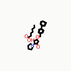 CCCCCCC(=O)O.O=C1C[C@@H](OCc2ccc(-c3ccccc3)cc2)C[C@@H]1N1CCCCC1